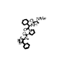 CN[C@@H](C)C(=O)N[C@H](C(=O)N1CCC[C@H]1C(=O)N(C)c1snnc1-c1ccccc1)C1CCCCC1